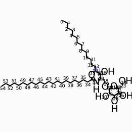 CCCCCCCCCCCCC/C=C/[C@@H](O)[C@H](CO[C@@H]1O[C@H](CO)[C@@H](O)C(O)C1O)NC(=O)CCCCCCCCCCCCCCCCCCCCC